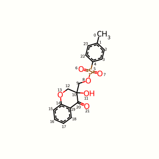 Cc1ccc(S(=O)(=O)OCC2(O)COc3ccccc3C2=O)cc1